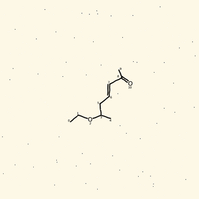 CCOC(C)CC=CC(C)=O